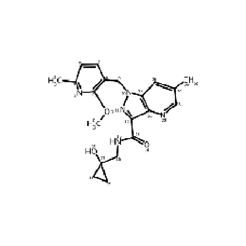 COc1nc(C)ccc1Cn1nc(C(=O)NCC2(O)CC2)c2ncc(C)cc21